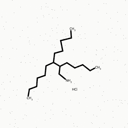 CCCCCCC(CCCCC)C(CN)CCCCC.Cl